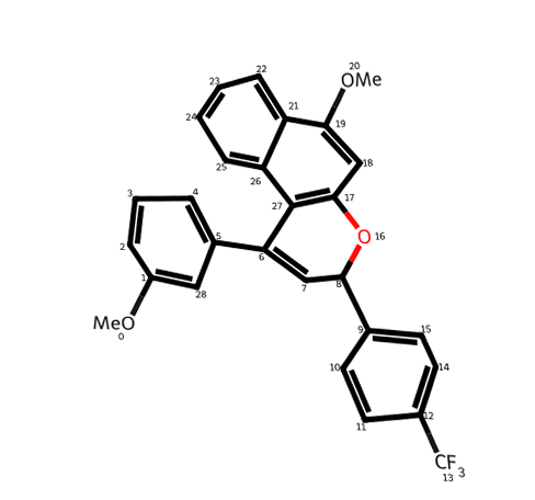 COc1cccc(C2=CC(c3ccc(C(F)(F)F)cc3)Oc3cc(OC)c4ccccc4c32)c1